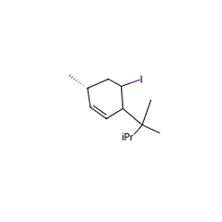 CC(C)C(C)(C)C1C=C[C@H](C)CC1I